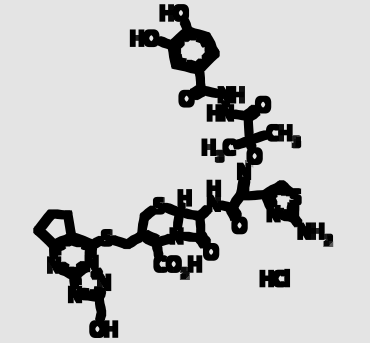 CC(C)(ON=C(C(=O)NC1C(=O)N2C(C(=O)O)=C(CSc3c4c(nc5nc(CO)nn35)CCC4)CS[C@@H]12)c1csc(N)n1)C(=O)NNC(=O)c1ccc(O)c(O)c1.Cl